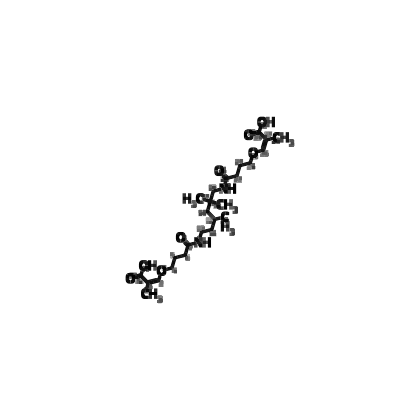 CC(=COCCCC(=O)NCCC(C)CC(C)(C)CNC(=O)CCCOC=C(C)C(=O)O)C(=O)O